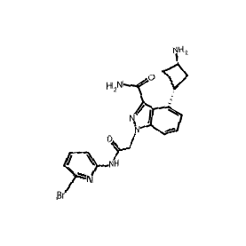 NC(=O)c1nn(CC(=O)Nc2cccc(Br)n2)c2cccc([C@H]3C[C@H](N)C3)c12